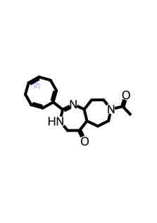 CC(=O)N1CCC2N=C(C3=CC/C=C\CC=C3)NCC(=O)C2CC1